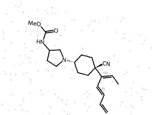 C=C/C=C/C(=C\C)[C@]1(C#N)CC[C@H](N2CCC(NC(=O)OC)C2)CC1